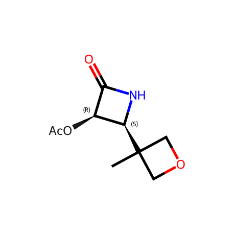 CC(=O)O[C@H]1C(=O)N[C@H]1C1(C)COC1